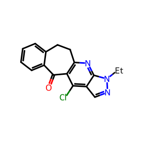 CCn1ncc2c(Cl)c3c(nc21)CCc1ccccc1C3=O